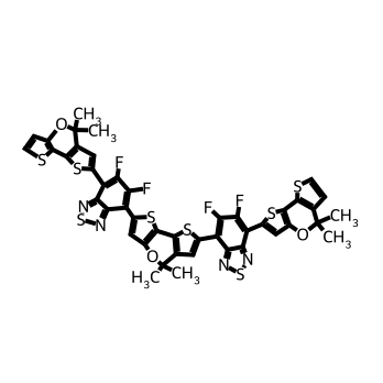 CC1(C)Oc2cc(-c3c(F)c(F)c(-c4cc5c(s4)-c4sc(-c6c(F)c(F)c(-c7cc8c(s7)-c7sccc7OC8(C)C)c7nsnc67)cc4OC5(C)C)c4nsnc34)sc2-c2sccc21